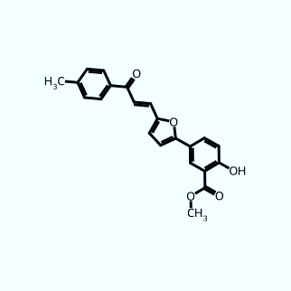 COC(=O)c1cc(-c2ccc(/C=C/C(=O)c3ccc(C)cc3)o2)ccc1O